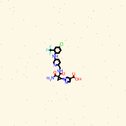 NC(=O)C1(C(=O)NCc2ccc(Nc3ccc(Cl)cc3C(F)(F)F)cn2)CC1n1cc(C(=O)O)cn1